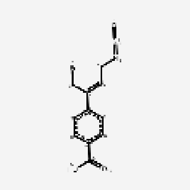 [N-]=[N+]=NCC=C(CBr)c1ccc(C(=O)O)cc1